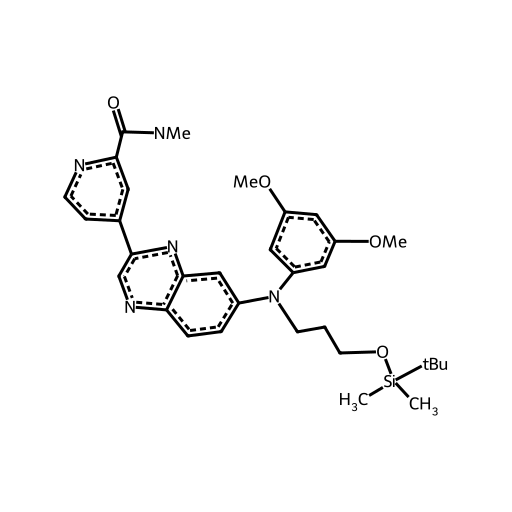 CNC(=O)c1cc(-c2cnc3ccc(N(CCCO[Si](C)(C)C(C)(C)C)c4cc(OC)cc(OC)c4)cc3n2)ccn1